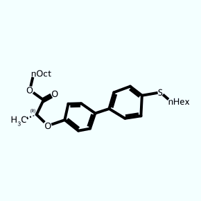 CCCCCCCCOC(=O)[C@@H](C)Oc1ccc(-c2ccc(SCCCCCC)cc2)cc1